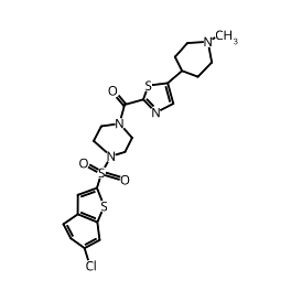 CN1CCC(c2cnc(C(=O)N3CCN(S(=O)(=O)c4cc5ccc(Cl)cc5s4)CC3)s2)CC1